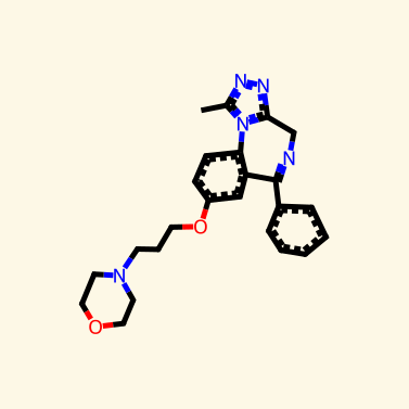 Cc1nnc2n1-c1ccc(OCCCN3CCOCC3)cc1C(c1ccccc1)=NC2